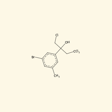 Cc1cc(Br)cc(C(O)(CCl)CC(Cl)(Cl)Cl)c1